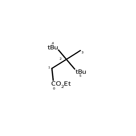 CCOC(=O)CC(C)(C(C)(C)C)C(C)(C)C